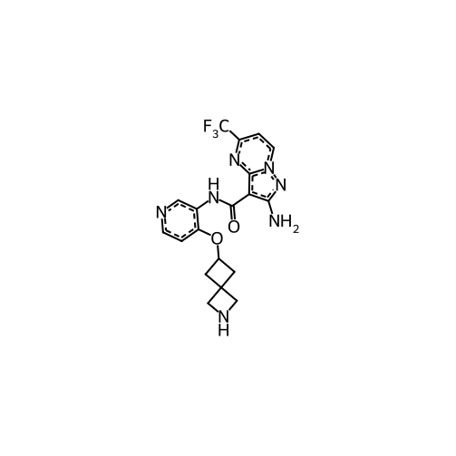 Nc1nn2ccc(C(F)(F)F)nc2c1C(=O)Nc1cnccc1OC1CC2(CNC2)C1